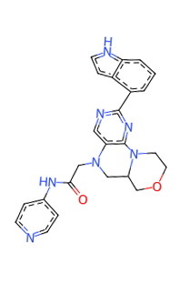 O=C(CN1CC2COCCN2c2nc(-c3cccc4[nH]ccc34)ncc21)Nc1ccncc1